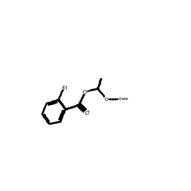 CCCCCCOC(C)OC(=O)c1ccccc1CC